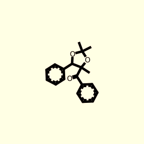 CC1(C)OC(c2ccccc2)C(C)(C(=O)c2ccccc2)O1